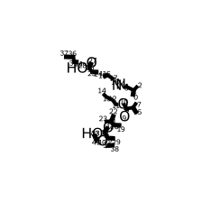 C=C(C)C#N.C=C(C)C(=O)OCCCC.C=CC#N.C=CC(=C)C.C=CC(=O)O.C=CC(=O)O.C=CC=C.C=COC=C